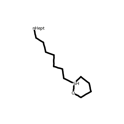 CCCCCCCCCCCCCC[SiH]1CCCCO1